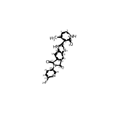 Cc1cc[nH]c(=O)c1-c1nc2cc3c(cc2[nH]1)C(=O)N(c1ccc(F)nc1)C3=O